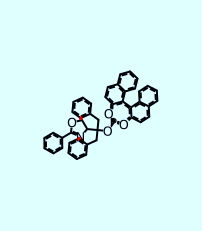 c1ccc(CC(Cc2ccccc2)(Op2oc3ccc4ccccc4c3c3c(ccc4ccccc43)o2)C2COC(c3ccccc3)=N2)cc1